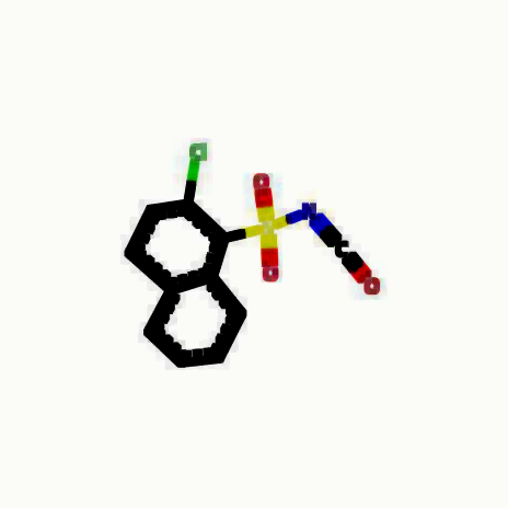 O=C=NS(=O)(=O)c1c(Cl)ccc2ccccc12